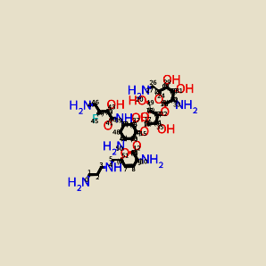 NCCCNC[C@@H]1C=C[C@@H](N)[C@@H](O[C@H]2[C@H](O[C@@H]3O[C@H](CO)[C@@H](O[C@H]4O[C@@H](CN)[C@@H](O)[C@H](O)[C@H]4N)[C@H]3O)[C@@H](O)[C@H](NC(=O)[C@@H](O)[C@H](F)CN)C[C@@H]2N)O1